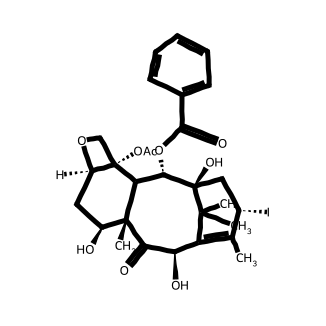 CC(=O)O[C@@]12CO[C@@H]1C[C@H](O)[C@@]1(C)C(=O)[C@H](O)C3=C(C)[C@@H](I)C[C@@](O)([C@@H](OC(=O)c4ccccc4)C12)C3(C)C